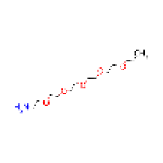 CCCOCCOCCOCCOCCOCCN